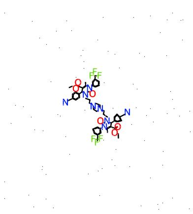 CCOC(=O)C1=C(C)N(c2cccc(C(F)(F)F)c2)C(=O)N(CCCN2CCN(CCCN3C(=O)N(c4cccc(C(F)(F)F)c4)C(C)=C(C(=O)OCC)C3c3ccc(C#N)cc3)CC2)C1c1ccc(C#N)cc1